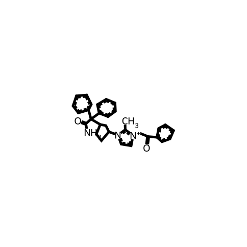 Cc1n(C2CCC(C(C(N)=O)(c3ccccc3)c3ccccc3)C2)cc[n+]1CC(=O)c1ccccc1